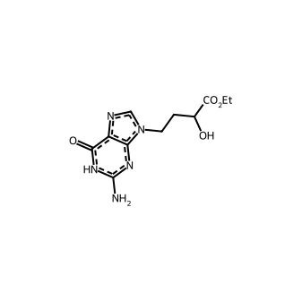 CCOC(=O)C(O)CCn1cnc2c(=O)[nH]c(N)nc21